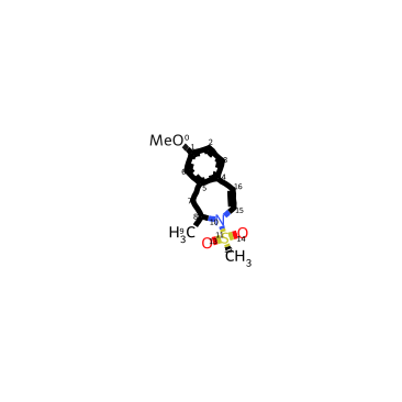 COc1ccc2c(c1)CC(C)N(S(C)(=O)=O)C=C2